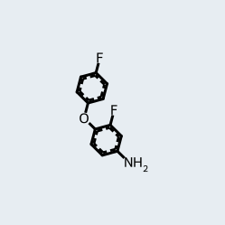 Nc1ccc(Oc2ccc(F)cc2)c(F)c1